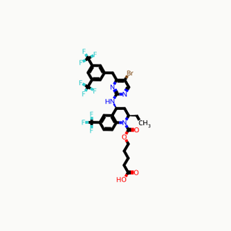 CC[C@@H]1C[C@H](Nc2ncc(Br)c(Cc3cc(C(F)(F)F)cc(C(F)(F)F)c3)n2)c2cc(C(F)(F)F)ccc2N1C(=O)OCCCCC(=O)O